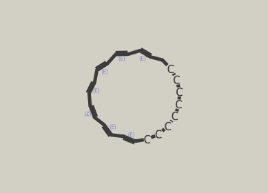 [C]1=C/C=C/C=C/C=C/C=C\C=C\C=C\CCCCCCCCC/1